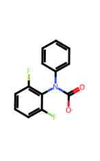 [O]C(=O)N(c1ccccc1)c1c(F)cccc1F